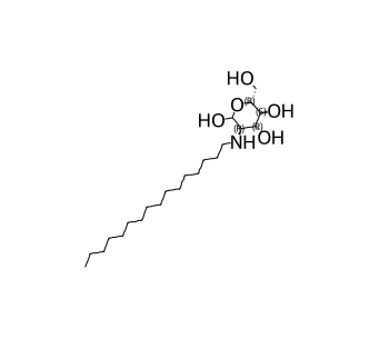 CCCCCCCCCCCCCCCCN[C@H]1C(O)O[C@H](CO)[C@@H](O)[C@@H]1O